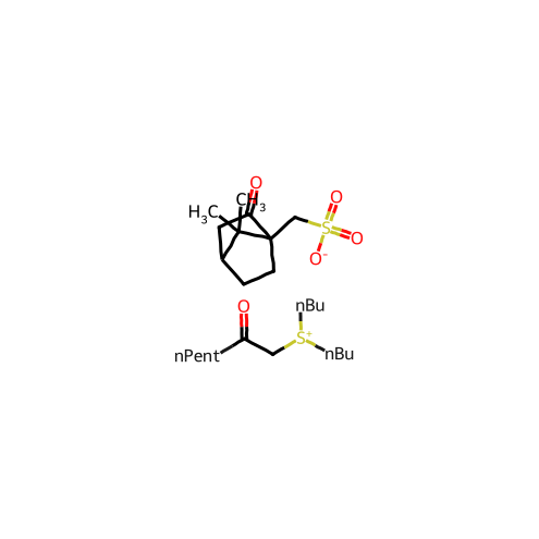 CC1(C)C2CCC1(CS(=O)(=O)[O-])C(=O)C2.CCCCCC(=O)C[S+](CCCC)CCCC